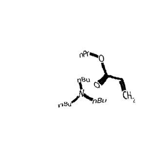 C=CC(=O)OCCC.CCCCN(CCCC)CCCC